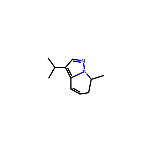 CC(C)c1cnn2c1C=CCC2C